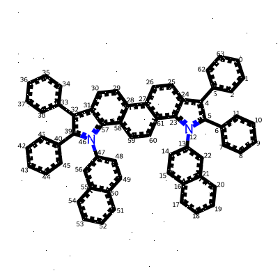 c1ccc(-c2c(-c3ccccc3)n(-c3ccc4ccccc4c3)c3c2ccc2c4ccc5c(-c6ccccc6)c(-c6ccccc6)n(-c6ccc7ccccc7c6)c5c4ccc23)cc1